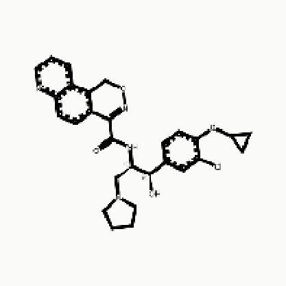 O=C(N[C@H](CN1CCCC1)[C@H](O)c1ccc(OC2CC2)c(Cl)c1)C1=NOCc2c1ccc1ncccc21